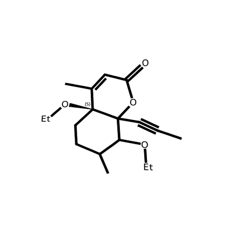 CC#CC12OC(=O)C=C(C)[C@@]1(OCC)CCC(C)C2OCC